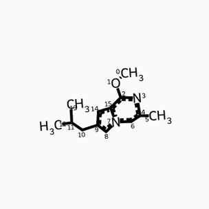 COc1nc(C)cn2cc(CC(C)C)cc12